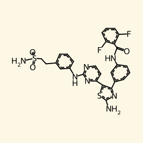 Nc1nc(-c2cccc(NC(=O)c3c(F)cccc3F)c2)c(-c2ccnc(Nc3cccc(CCS(N)(=O)=O)c3)n2)s1